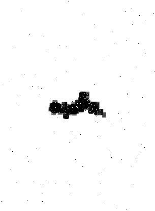 C=CC(=O)NC1CC(CO)N(S(=O)(=O)c2ccc(C(=O)NCc3ccccc3)cc2)C1